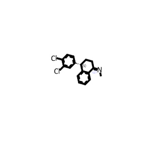 C/N=C1/CC[C@@H](c2ccc(Cl)c(Cl)c2)c2ccccc21